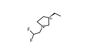 CC[C@@H]1CCN(CC(F)F)C1